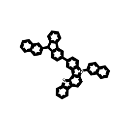 c1ccc2c(c1)-c1cc(-c3ccc4c(c3)c3c5sc6ccccc6c5ccc3n4-c3ccc4ccccc4c3)ccc1C2c1ccc2ccccc2c1